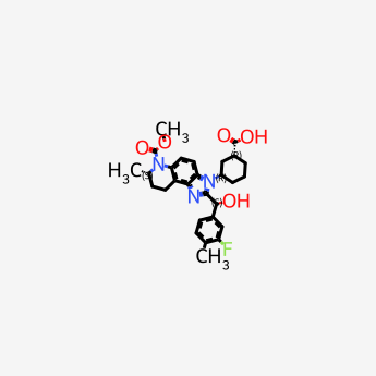 COC(=O)N1c2ccc3c(nc([C@@H](O)c4ccc(C)c(F)c4)n3[C@@H]3CCC[C@@H](C(=O)O)C3)c2CC[C@@H]1C